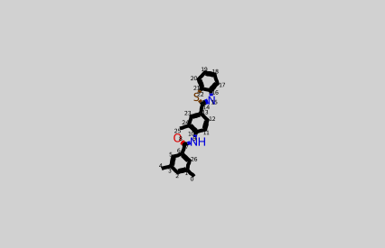 Cc1cc(C)cc(C(=O)Nc2ccc(-c3nc4ccccc4s3)cc2C)c1